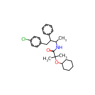 CC(NC(=O)C(C)(C)OC1CCCCC1)C(Cc1ccc(Cl)cc1)c1ccccc1